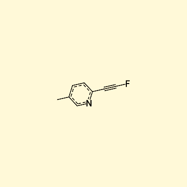 Cc1ccc(C#CF)nc1